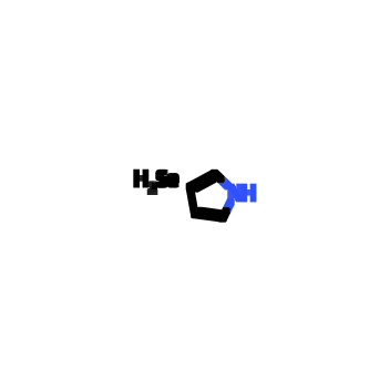 [SeH2].c1cc[nH]c1